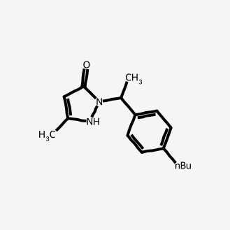 CCCCc1ccc(C(C)n2[nH]c(C)cc2=O)cc1